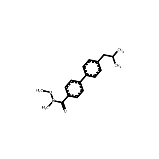 CON(C)C(=O)c1ccc(-c2ccc(CC(C)C)cc2)cc1